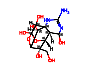 NC1=N[C@@H](O)[C@H]2[C@H]3OC4(O)OC([C@@H](O)[C@@]2(N1)[C@@H]4O)[C@]3(O)CO